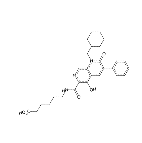 O=C(O)CCCCCNC(=O)c1ncc2c(cc(-c3ccccc3)c(=O)n2CC2CCCCC2)c1O